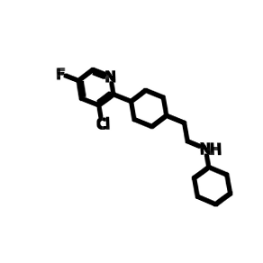 Fc1cnc(C2CCC(CCNC3CCCCC3)CC2)c(Cl)c1